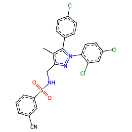 Cc1c(CNS(=O)(=O)c2cccc(C#N)c2)nn(-c2ccc(Cl)cc2Cl)c1-c1ccc(Cl)cc1